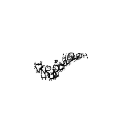 O=C(Nc1ccccn1)c1cccn2nc(-c3ccc(OC[C@@H](O)CO)cc3C(F)F)nc12